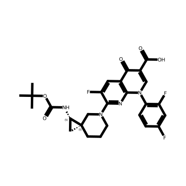 CC(C)(C)OC(=O)N[C@H]1C[C@]12CCCN(c1nc3c(cc1F)c(=O)c(C(=O)O)cn3-c1ccc(F)cc1F)C2